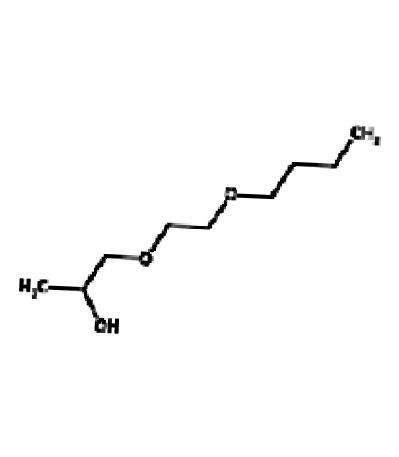 CCCCOCCOCC(C)O